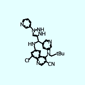 CC(C)(C)CNc1c(C#N)cnc2c(Cl)cc(NC(C3=CN(c4cccnc4)NN3)c3cccnc3)cc12